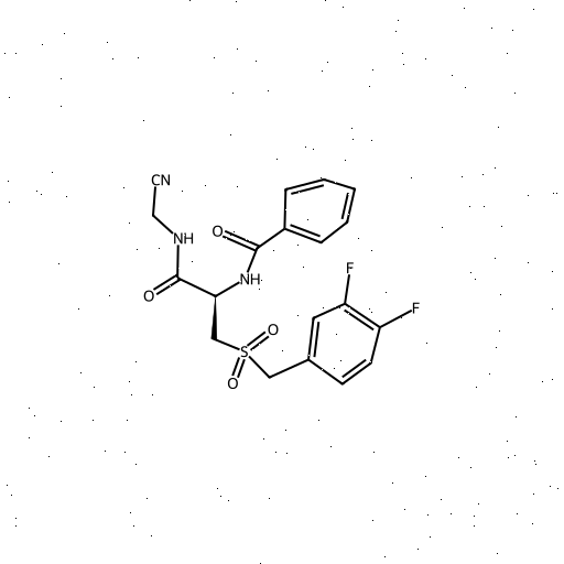 N#CCNC(=O)[C@H](CS(=O)(=O)Cc1ccc(F)c(F)c1)NC(=O)c1ccccc1